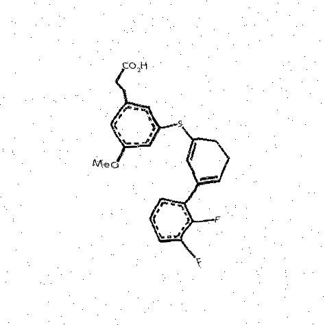 COc1cc(CC(=O)O)cc(SC2=CC(c3cccc(F)c3F)=CCC2)c1